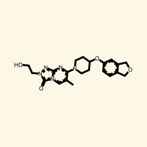 Cc1cn2c(=O)n(CCO)nc2nc1N1CCC(Oc2ccc3c(c2)COC3)CC1